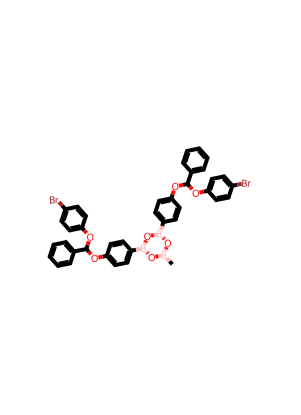 CB1OB(c2ccc(OC(Oc3ccc(Br)cc3)c3ccccc3)cc2)OB(c2ccc(OC(Oc3ccc(Br)cc3)c3ccccc3)cc2)O1